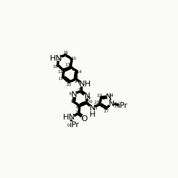 CC(C)NC(=O)c1cnc(Nc2ccc3c(c2)CCNC3)nc1Nc1cnn(C(C)C)c1